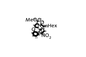 CCCCCCC(C(=O)N1CC(Oc2ccccc2)C[C@H]1C(=O)OC)n1cnc([N+](=O)[O-])c1